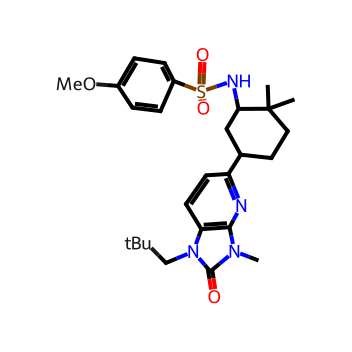 COc1ccc(S(=O)(=O)NC2CC(c3ccc4c(n3)n(C)c(=O)n4CC(C)(C)C)CCC2(C)C)cc1